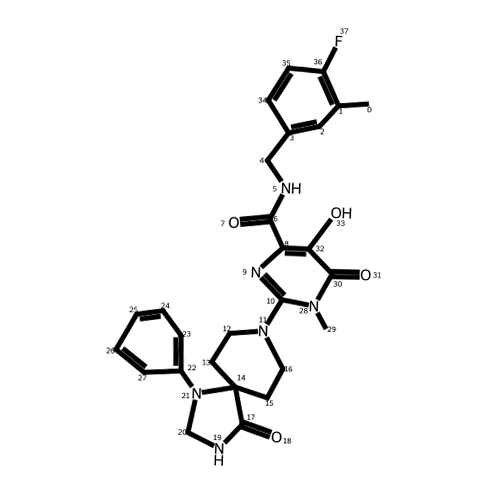 Cc1cc(CNC(=O)c2nc(N3CCC4(CC3)C(=O)NCN4c3ccccc3)n(C)c(=O)c2O)ccc1F